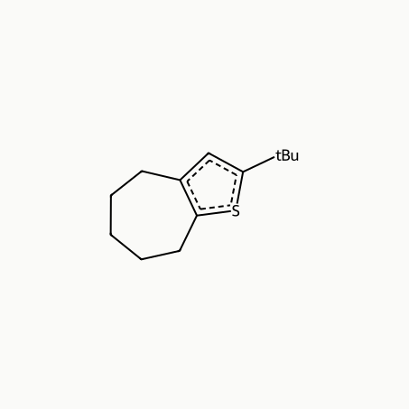 CC(C)(C)c1cc2c(s1)CCCCC2